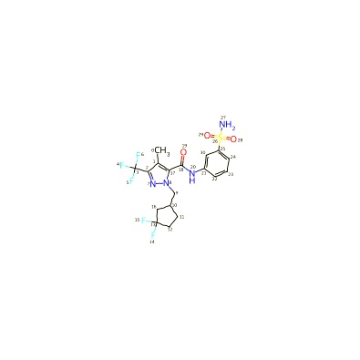 Cc1c(C(F)(F)F)nn(CC2CCC(F)(F)C2)c1C(=O)Nc1cccc(S(N)(=O)=O)c1